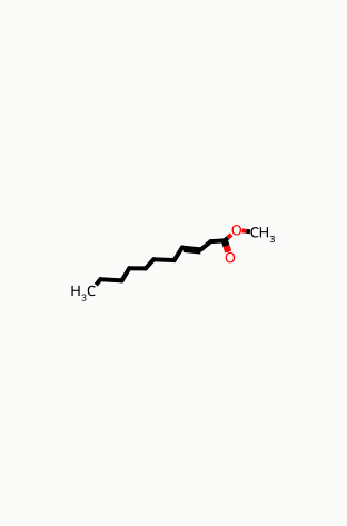 CCCCCCC/C=C/CC(=O)OC